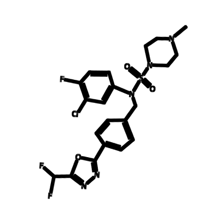 CN1CCN(S(=O)(=O)N(Cc2ccc(-c3nnc(C(F)F)o3)cc2)c2ccc(F)c(Cl)c2)CC1